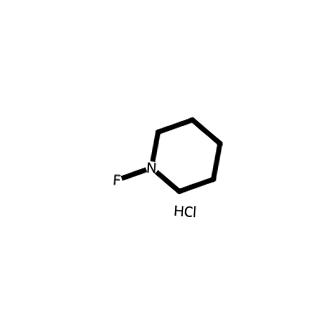 Cl.FN1CCCCC1